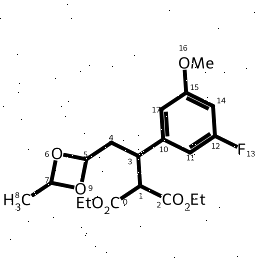 CCOC(=O)C(C(=O)OCC)C(CC1OC(C)O1)c1cc(F)cc(OC)c1